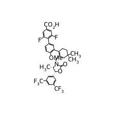 COc1ccc(-c2c(F)cc(C(=O)O)cc2F)cc1C1=C(CN2C(=O)O[C@H](c3cc(C(F)(F)F)cc(C(F)(F)F)c3)[C@@H]2C)CC(C)(C)CC1